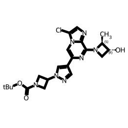 C[C@H]1[C@H](O)CN1c1nc(-c2cnn(C3CN(C(=O)OC(C)(C)C)C3)c2)cn2c(Cl)cnc12